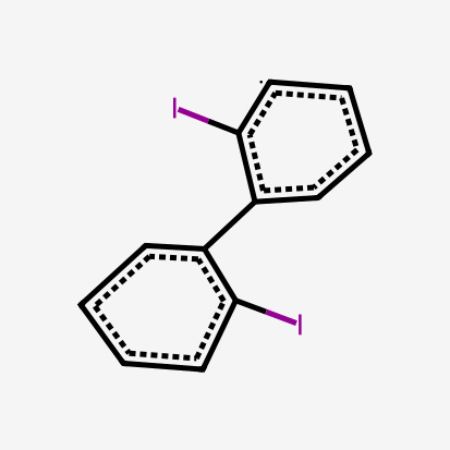 Ic1[c]cccc1-c1ccccc1I